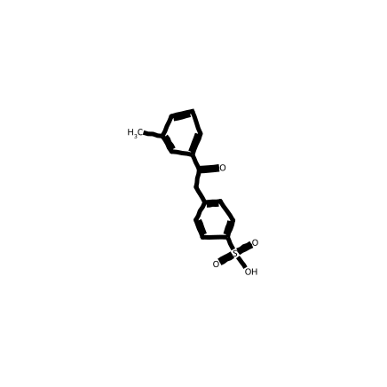 Cc1cccc(C(=O)Cc2ccc(S(=O)(=O)O)cc2)c1